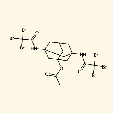 CC(=O)OC12CC3CC(NC(=O)C(Br)(Br)Br)(CC(NC(=O)C(Br)(Br)Br)(C3)C1)C2